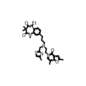 CCN1C(=O)C(C)(C)C(=O)N(C)c2cc(CCCN(CCn3cc(C)c4oc(C)cc4c3=O)Cc3nc(C)cs3)ccc21